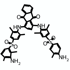 Cc1cc(S(=O)(=O)c2cc(C)c(Nc3ccc(Nc4c(C)cc(S(=O)(=O)c5ccc(C)c(N)c5C)cc4C)c4c3C(=O)c3ccccc3C4=O)c(C)c2)ccc1N